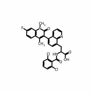 Cc1c(-c2ccc(CC(NC(=O)c3c(Cl)cccc3Cl)C(=O)O)c3ncccc23)c(=O)n(C)c2cc(F)ccc12